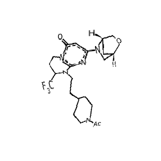 CC(=O)N1CCC(CCN2c3nc(N4C[C@@H]5C[C@H]4CO5)cc(=O)n3CCC2C(F)(F)F)CC1